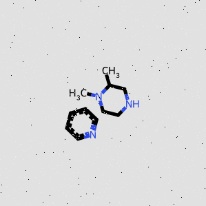 CC1CNCCN1C.c1ccncc1